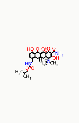 CC(C)COC(=O)NCc1ccc(O)c2c1C[C@H]1C[C@H]3[C@H](N(C)C)C(O)=C(C(N)=O)C(=O)[C@@]3(O)C(O)=C1C2=O